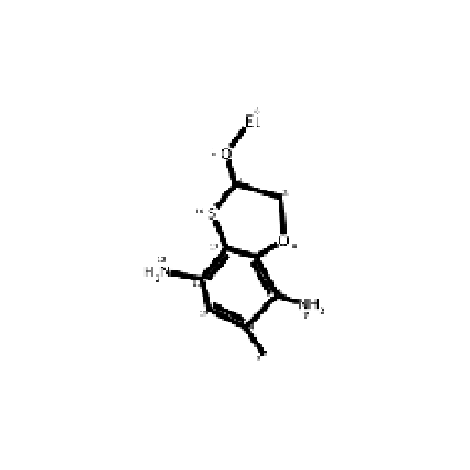 CCOC1COc2c(N)c(C)cc(N)c2S1